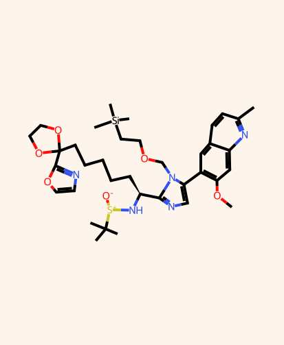 COc1cc2nc(C)ccc2cc1-c1cnc([C@H](CCCCCC2(c3ncco3)OCCO2)N[S+]([O-])C(C)(C)C)n1COCC[Si](C)(C)C